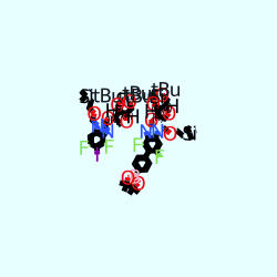 CC(C)(C)[Si]1(C(C)(C)C)OC[C@H]2OC[C@@H](Oc3nc4c(F)c(I)c(F)cc4n3COCC[Si](C)(C)C)[C@@H]2O1.CC1(C)OB(c2ccc(-c3c(F)cc4c(nc(O[C@@H]5CO[C@@H]6CO[Si](C(C)(C)C)(C(C)(C)C)O[C@H]65)n4COCC[Si](C)(C)C)c3F)cc2)OC1(C)C